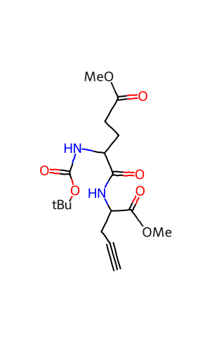 C#CCC(NC(=O)C(CCC(=O)OC)NC(=O)OC(C)(C)C)C(=O)OC